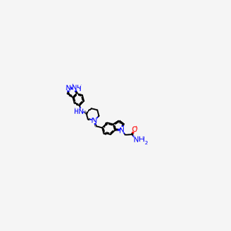 NC(=O)Cn1ccc2cc(CN3CCC[C@H](Nc4ccc5[nH]ncc5c4)C3)ccc21